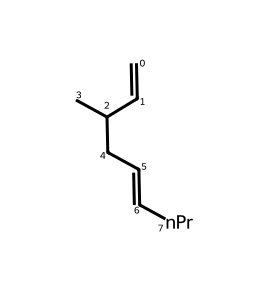 C=CC(C)CC=CCCC